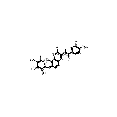 COC1=C(C)OC(Oc2ccc3cc(NC(=O)c4ccc(OC)c(I)c4)c(=O)oc3c2OC)C(O)C1O